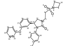 O=C1N(CCS(=O)(=O)N2CCC2)C[C@H](c2cccc(Oc3cccnn3)c2)N1c1ccc(Cl)cc1